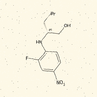 CC(C)C[C@H](CO)Nc1ccc([N+](=O)[O-])cc1F